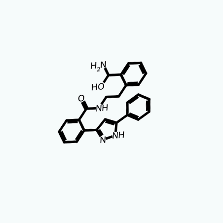 NC(O)c1ccccc1CCNC(=O)c1ccccc1-c1cc(-c2ccccc2)[nH]n1